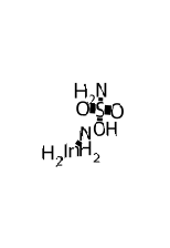 NS(=O)(=O)O.[NH2][InH2]